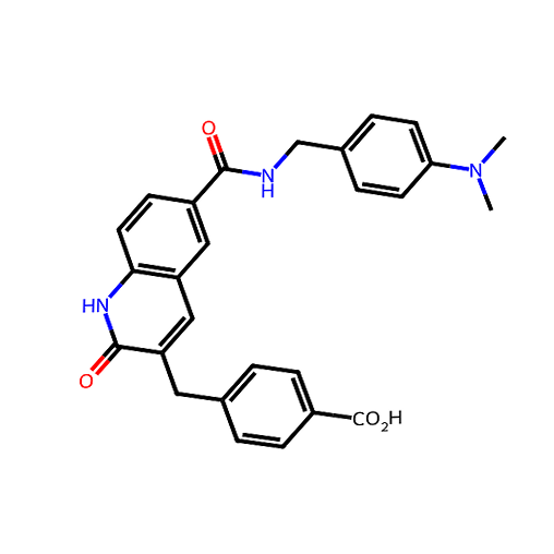 CN(C)c1ccc(CNC(=O)c2ccc3[nH]c(=O)c(Cc4ccc(C(=O)O)cc4)cc3c2)cc1